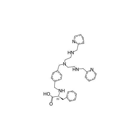 O=C(O)[C@H](Cc1ccccc1)NCc1ccc(CN(CCNCc2ccccn2)CCNCc2ccccn2)cc1